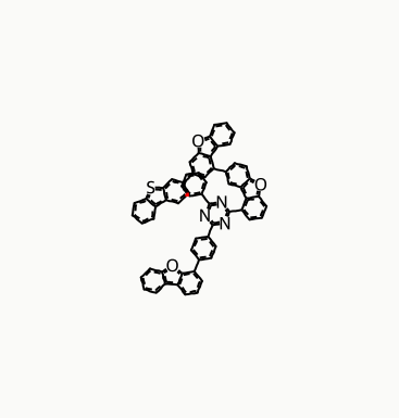 c1ccc(-c2nc(-c3ccc(-c4cccc5c4oc4ccccc45)cc3)nc(-c3cccc4oc5ccc(-c6cc(-c7ccc8c(c7)sc7ccccc78)cc7oc8ccccc8c67)cc5c34)n2)cc1